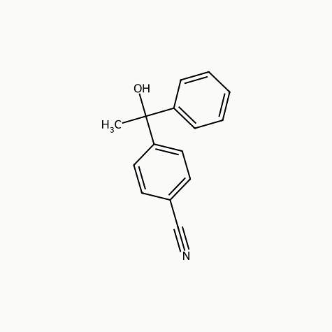 CC(O)(c1ccccc1)c1ccc(C#N)cc1